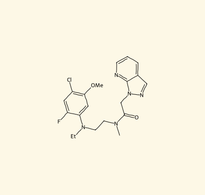 CCN(CCN(C)C(=O)Cn1ncc2cccnc21)c1cc(OC)c(Cl)cc1F